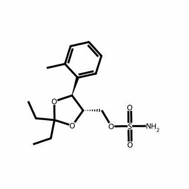 CCC1(CC)O[C@@H](COS(N)(=O)=O)[C@H](c2ccccc2C)O1